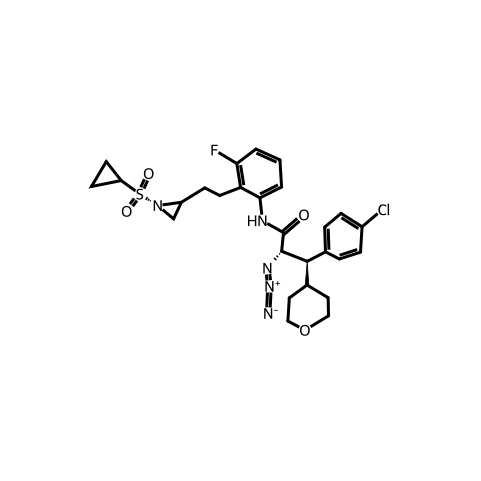 [N-]=[N+]=N[C@H](C(=O)Nc1cccc(F)c1CCC1C[N@]1S(=O)(=O)C1CC1)[C@@H](c1ccc(Cl)cc1)C1CCOCC1